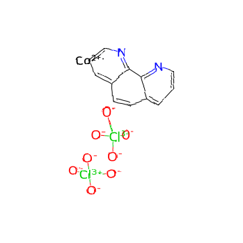 [Co+2].[O-][Cl+3]([O-])([O-])[O-].[O-][Cl+3]([O-])([O-])[O-].c1cnc2c(c1)ccc1cccnc12